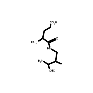 CC(CNC(=O)C(CCS(=O)(=O)O)S(=O)(=O)O)C(N)C=O